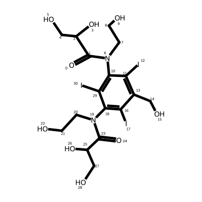 O=C(C(O)CO)N(CCO)c1c(I)c(CO)c(I)c(N(CCO)C(=O)C(O)CO)c1I